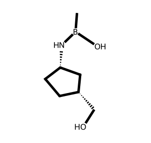 CB(O)N[C@H]1CC[C@@H](CO)C1